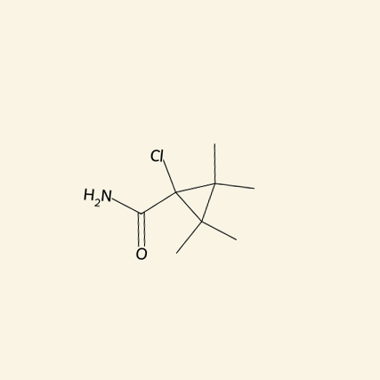 CC1(C)C(C)(C)C1(Cl)C(N)=O